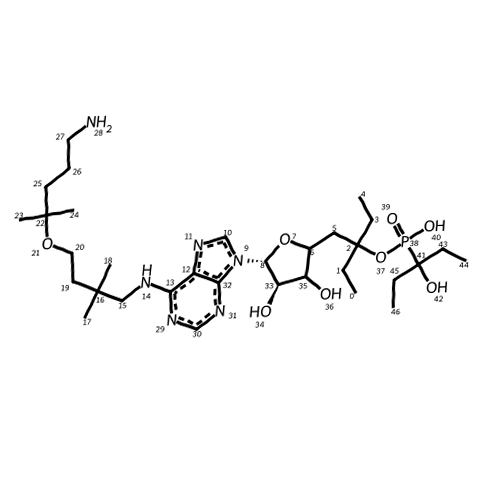 CCC(CC)(CC1O[C@@H](n2cnc3c(NCC(C)(C)CCOC(C)(C)CCCN)ncnc32)[C@H](O)C1O)OP(=O)(O)C(O)(CC)CC